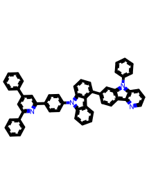 c1ccc(-c2cc(-c3ccccc3)nc(-c3ccc(-n4c5ccccc5c5c(-c6ccc7c8ncccc8n(-c8ccccc8)c7c6)cccc54)cc3)c2)cc1